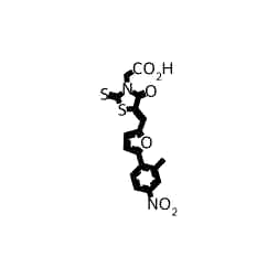 Cc1cc([N+](=O)[O-])ccc1-c1ccc(/C=C2\SC(=S)N(CC(=O)O)C2=O)o1